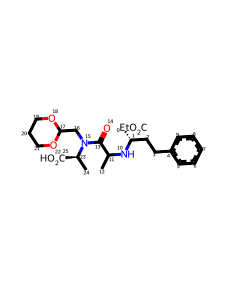 CCOC(=O)[C@H](CCc1ccccc1)NC(C)C(=O)N(CC1OCCCO1)[C@@H](C)C(=O)O